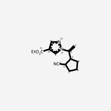 C=C(C1CCCC1C#N)n1cc(C(=O)OCC)cn1